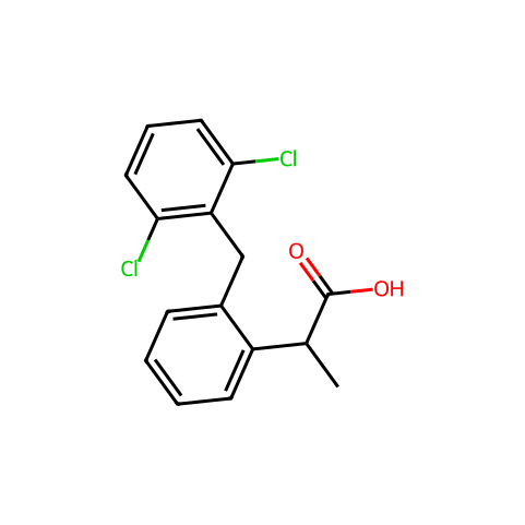 CC(C(=O)O)c1ccccc1Cc1c(Cl)cccc1Cl